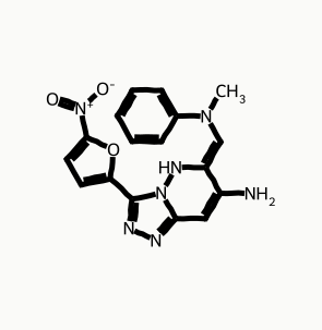 CN(C=C1Nn2c(nnc2-c2ccc([N+](=O)[O-])o2)C=C1N)c1ccccc1